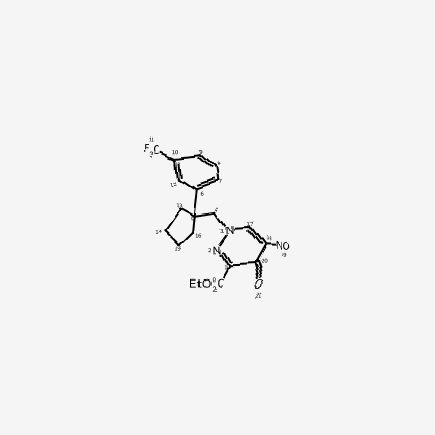 CCOC(=O)c1nn(CC2(c3cccc(C(F)(F)F)c3)CCCC2)cc(N=O)c1=O